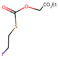 CCOC(=O)COC(=O)SCCI